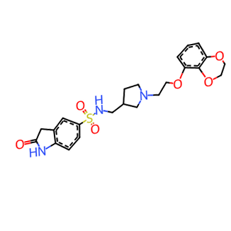 O=C1Cc2cc(S(=O)(=O)NCC3CCN(CCOc4cccc5c4OCCO5)C3)ccc2N1